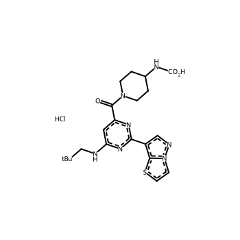 CC(C)(C)CNc1cc(C(=O)N2CCC(NC(=O)O)CC2)nc(-c2cnn3ccsc23)n1.Cl